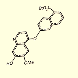 CCOC(=O)c1cccc2cc(Oc3ccnc4cc(O)c(OC)cc34)ccc12